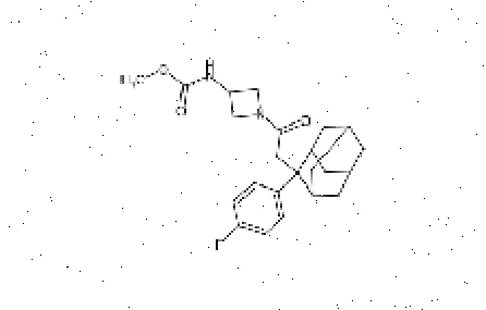 COC(=O)NC1CN(C(=O)CC2(c3ccc(F)cc3)C3CC4CC(C3)CC2C4)C1